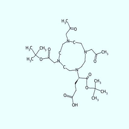 CC(=O)CN1CCN(CC(C)=O)CCN([C@H](CCC(=O)O)C(=O)OC(C)(C)C)CCN(CC(=O)OC(C)(C)C)CC1